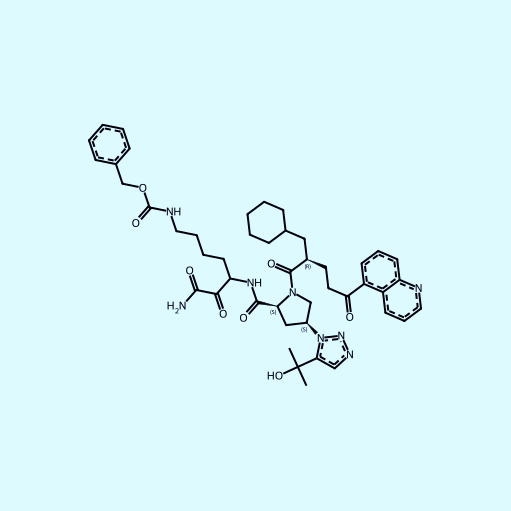 CC(C)(O)c1cnnn1[C@H]1C[C@@H](C(=O)NC(CCCCNC(=O)OCc2ccccc2)C(=O)C(N)=O)N(C(=O)[C@H](CCC(=O)c2cccc3ncccc23)CC2CCCCC2)C1